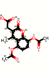 CC(=O)Oc1ccc(OC(C)=O)c2c(C)c(CC(=O)O)c(=O)oc12